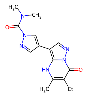 CCc1c(C)[nH]c2c(-c3cnn(C(=O)N(C)C)c3)cnn2c1=O